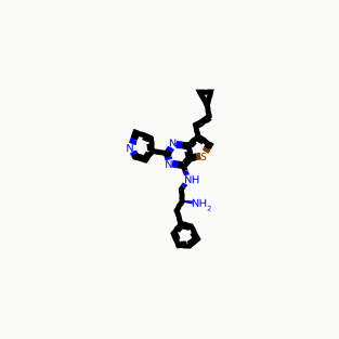 N[C@H](CNc1nc(-c2ccncc2)nc2c(/C=C/C3CC3)csc12)Cc1ccccc1